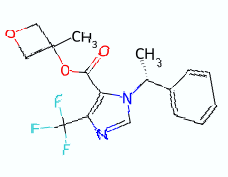 C[C@H](c1ccccc1)n1cnc(C(F)(F)F)c1C(=O)OC1(C)COC1